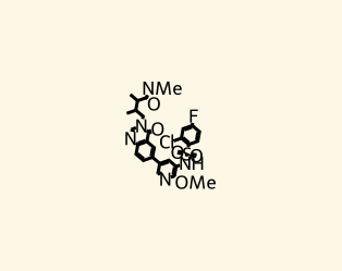 CNC(=O)C(C)C(C)Cn1cnc2ccc(-c3cnc(OC)c(NS(=O)(=O)c4ccc(F)cc4Cl)c3)cc2c1=O